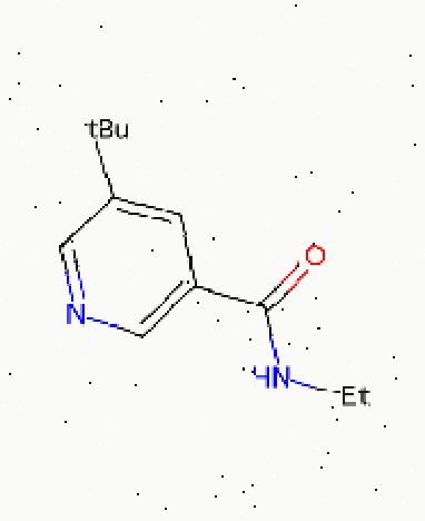 CCNC(=O)c1cncc(C(C)(C)C)c1